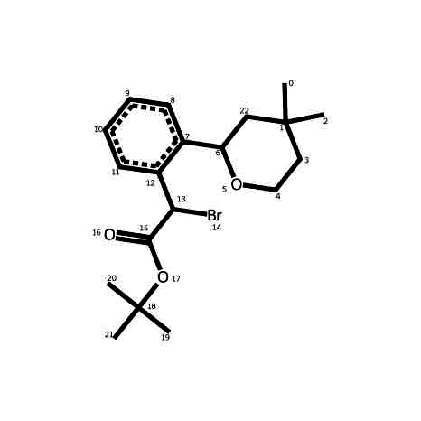 CC1(C)CCOC(c2ccccc2C(Br)C(=O)OC(C)(C)C)C1